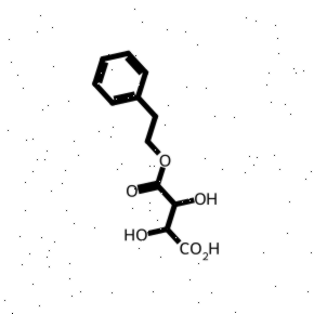 O=C(O)C(O)C(O)C(=O)OCCc1ccccc1